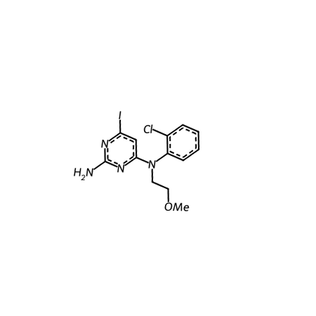 COCCN(c1cc(I)nc(N)n1)c1ccccc1Cl